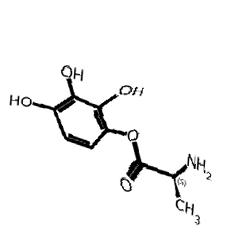 C[C@H](N)C(=O)Oc1ccc(O)c(O)c1O